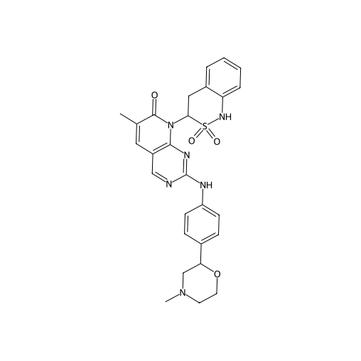 Cc1cc2cnc(Nc3ccc(C4CN(C)CCO4)cc3)nc2n(C2Cc3ccccc3NS2(=O)=O)c1=O